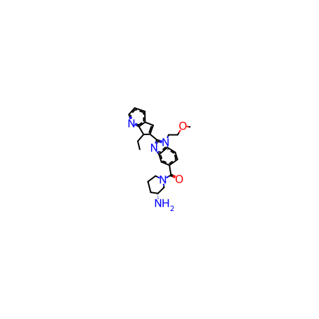 CCC1C(c2nc3cc(C(=O)N4CCC[C@@H](N)C4)ccc3n2CCOC)=Cc2cccnc21